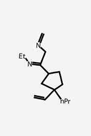 C=CC1(CCC)CCC(/C(CN=C)=N/CC)C1